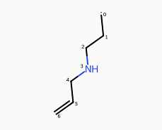 [CH2]CCNCC=C